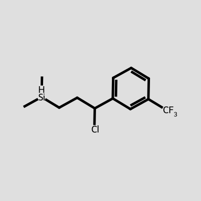 C[SiH](C)CCC(Cl)c1cccc(C(F)(F)F)c1